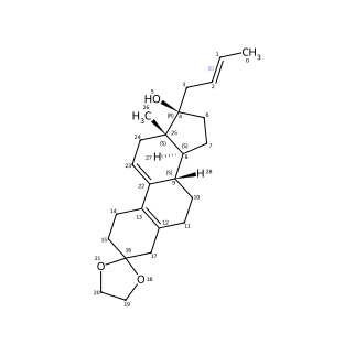 C/C=C/C[C@]1(O)CC[C@H]2[C@@H]3CCC4=C(CCC5(C4)OCCO5)C3=CC[C@@]21C